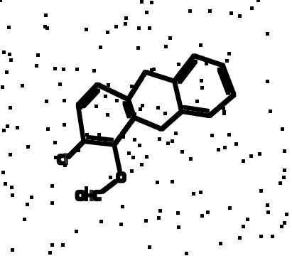 O=COc1c(Cl)ccc2c1Cc1ccccc1C2